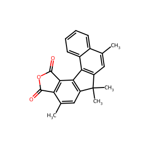 Cc1cc2c(c3c1C(=O)OC3=O)-c1c(cc(C)c3ccccc13)C2(C)C